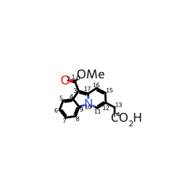 COC(=O)c1c2ccccc2n2cc(CC(=O)O)ccc12